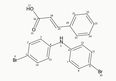 Brc1ccc(Nc2ccc(Br)cc2)cc1.O=C(O)C=Cc1ccccc1